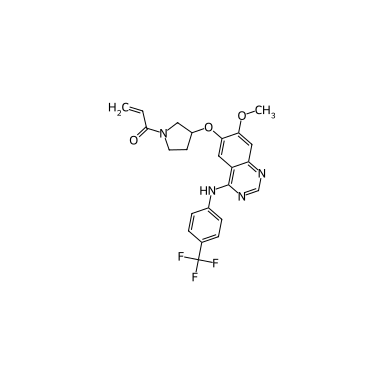 C=CC(=O)N1CCC(Oc2cc3c(Nc4ccc(C(F)(F)F)cc4)ncnc3cc2OC)C1